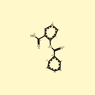 O=C(Oc1c[c]ncc1C(=O)O)c1ccccc1